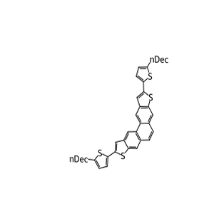 CCCCCCCCCCc1ccc(-c2cc3cc4c(ccc5cc6sc(-c7ccc(CCCCCCCCCC)s7)cc6cc54)cc3s2)s1